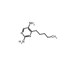 CCCCCc1nc(N)ncc1N